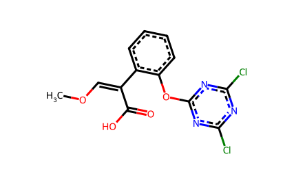 COC=C(C(=O)O)c1ccccc1Oc1nc(Cl)nc(Cl)n1